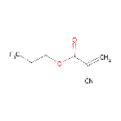 C=C(C#N)C(=O)OCCC(F)(F)F